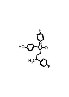 CC(CCC1C(=O)N(c2ccc(F)cc2)C1c1ccc(O)cc1)c1ccc(F)cc1